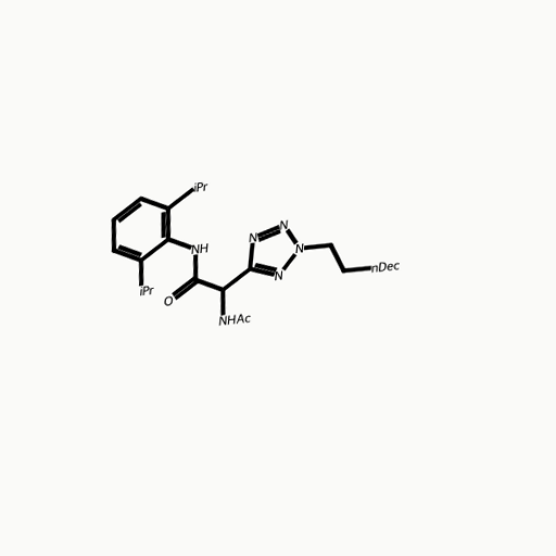 CCCCCCCCCCCCn1nnc(C(NC(C)=O)C(=O)Nc2c(C(C)C)cccc2C(C)C)n1